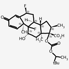 CC(OC(=O)O[C@@]1(C(=O)O)[C@H](C)C[C@H]2[C@@H]3C[C@H](F)C4=CC(=O)C=C[C@]4(C)C3(F)[C@@H](O)C[C@@]21C)C(C)(C)C